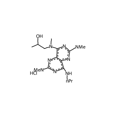 CCCNc1nc(NC)nc2c(N(C)CC(C)O)nc(NC)nc12.Cl